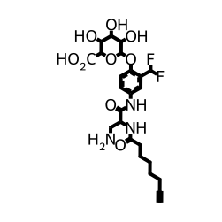 C#CCCCCCC(=O)NC(CN)C(=O)Nc1ccc(OC2OC(C(=O)O)C(O)C(O)C2O)c(C(F)F)c1